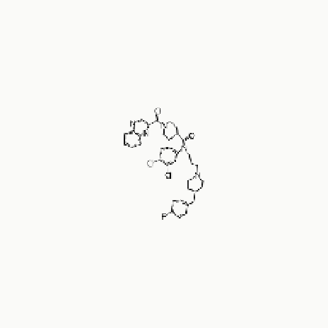 O=C(c1cnc2ccccc2n1)N1CCC(C(=O)N(CCCN2CCC(Cc3ccc(F)cc3)CC2)c2ccc(Cl)c(Cl)c2)CC1